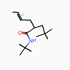 C/C=C/CC(CC(C)(C)C)C(=O)NC(C)(C)C